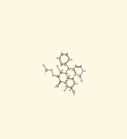 COCCN1C(=O)c2c(C)c(=O)ccn2C(C(C2=CC(C)CC=C2)c2ccccc2)N1C